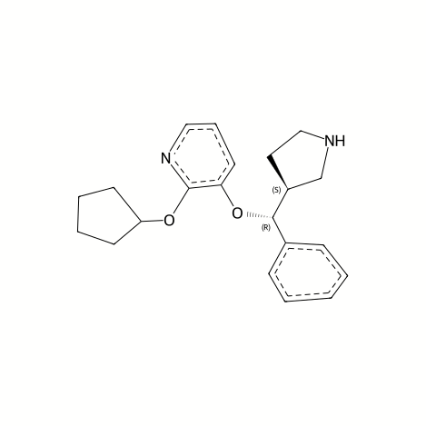 c1ccc([C@H](Oc2cccnc2OC2CCCC2)[C@H]2CCNC2)cc1